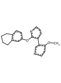 COc1ccncc1-c1cccnc1Oc1ccc2c(c1)CCCC2